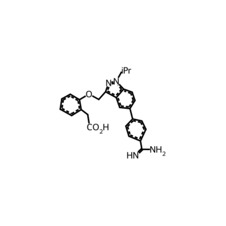 CC(C)n1nc(COc2ccccc2CC(=O)O)c2cc(-c3ccc(C(=N)N)cc3)ccc21